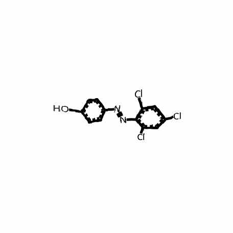 Oc1ccc(/N=N/c2c(Cl)cc(Cl)cc2Cl)cc1